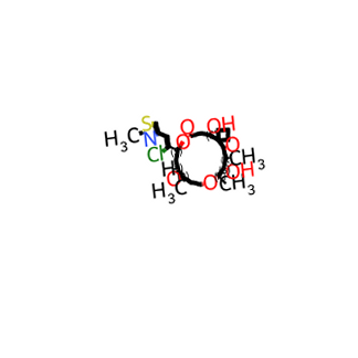 Cc1nc(C=C(Cl)[C@@H]2C[C@@H]3O[C@]3(C)CCO[C@H](C)[C@@H](O)[C@@H](C)C(=O)C3(CCC3)[C@@H](O)CC(=O)O2)cs1